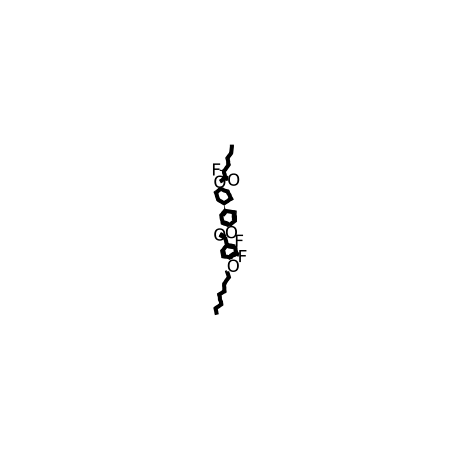 CCCCCCCCOc1ccc(C(=O)Oc2ccc([C@H]3CC[C@H](OC(=O)[C@H](F)CCCC)CC3)cc2)c(F)c1F